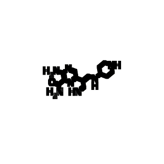 N=C/C(=C\NC1CCNCC1)c1cnc(N)c(C(N)=O)n1